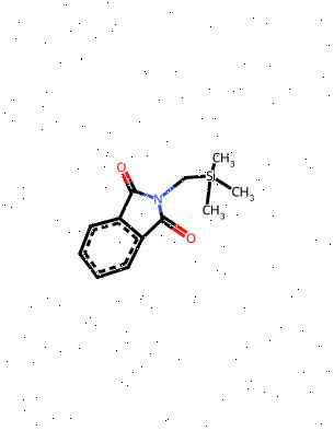 C[Si](C)(C)CN1C(=O)c2ccccc2C1=O